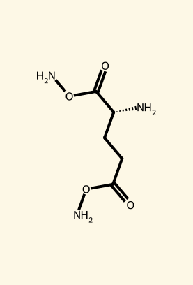 NOC(=O)CC[C@@H](N)C(=O)ON